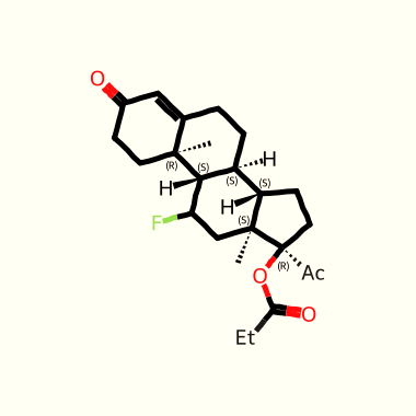 CCC(=O)O[C@]1(C(C)=O)CC[C@H]2[C@@H]3CCC4=CC(=O)CC[C@]4(C)[C@H]3C(F)C[C@@]21C